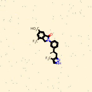 C[C@H](Cc1n[nH]cc1C(F)(F)F)c1cccc(N2Cc3c(cc(C(=O)O)cc3C(F)(F)F)C2=O)c1